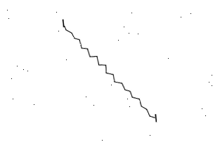 ICCCCCCCCCCCCCCCCCCCCCI